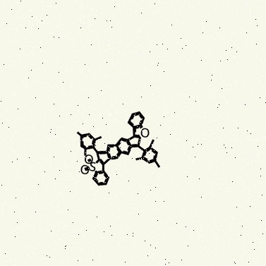 Cc1cc(C)c(C2=c3cc4cc5c(cc4cc3C3=C2S(=O)(=O)c2ccccc23)=C(c2c(C)cc(C)cc2C)c2oc3ccccc3c2-5)c(C)c1